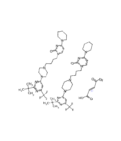 CC(C)(C)c1nc(N2CCN(CCCCn3ccc(N4CCCCC4)nc3=O)CC2)cc(C(F)(F)F)n1.CC(C)(C)c1nc(N2CCN(CCCCn3ccc(N4CCCCC4)nc3=O)CC2)cc(C(F)(F)F)n1.O=C(O)/C=C/C(=O)O